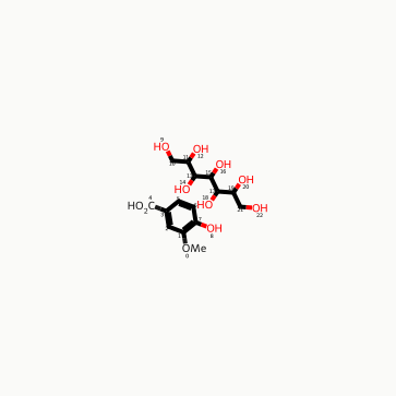 COc1cc(C(=O)O)ccc1O.OCC(O)C(O)C(O)C(O)C(O)CO